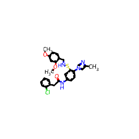 COc1ccc(CNSc2cc(NC(=O)Cc3ccccc3Cl)ccc2-n2cnc(C)c2)c(OC)c1